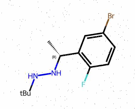 C[C@@H](NNC(C)(C)C)c1cc(Br)ccc1F